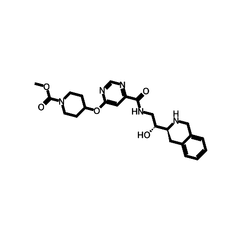 COC(=O)N1CCC(Oc2cc(C(=O)NC[C@@H](O)[C@@H]3Cc4ccccc4CN3)ncn2)CC1